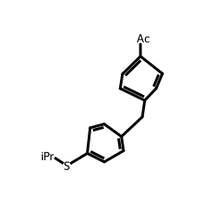 CC(=O)c1ccc(Cc2ccc(SC(C)C)cc2)cc1